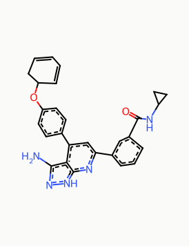 Nc1n[nH]c2nc(-c3cccc(C(=O)NC4CC4)c3)cc(-c3ccc(OC4C=CC=CC4)cc3)c12